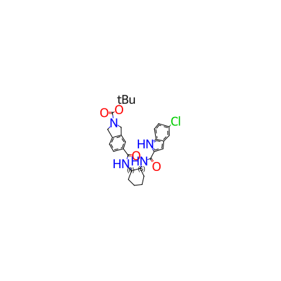 CC(C)(C)OC(=O)N1Cc2ccc(C(=O)N[C@@H]3CCCC[C@@H]3NC(=O)c3cc4cc(Cl)ccc4[nH]3)cc2C1